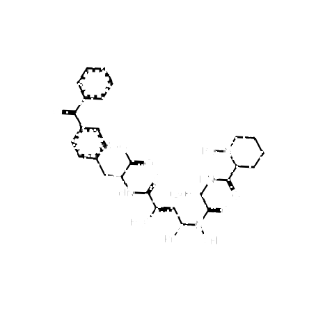 CCC(C)N1CCCCC1C(=O)N[C@H](C(=O)N(C)[C@H](/C=C(\C)C(=O)N[C@@H](Cc1ccc(C(=O)c2ccccc2)cc1)C(=O)OC)C(C)C)C(C)(C)C